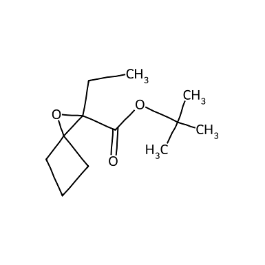 CCC1(C(=O)OC(C)(C)C)OC12CCC2